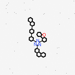 c1cc(-c2ccc(-c3ccc4ccccc4c3)cc2)cc(-c2nc(-c3ccc4ccc5ccccc5c4c3)nc(-c3cccc4oc5ccccc5c34)n2)c1